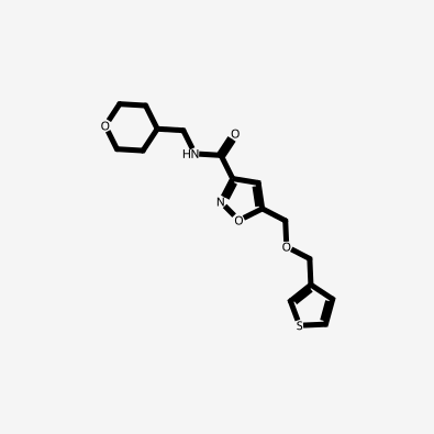 O=C(NCC1CCOCC1)c1cc(COCc2ccsc2)on1